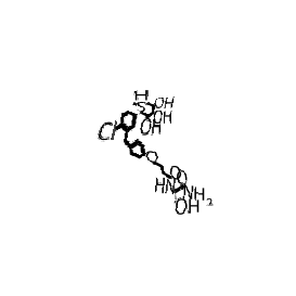 C[SH]1C[C@@H](O)[C@@H](O)[C@@H](O)[C@@H]1c1ccc(Cl)c(Cc2ccc(OCCCC(=O)N[C@@H](CO)C(N)=O)cc2)c1